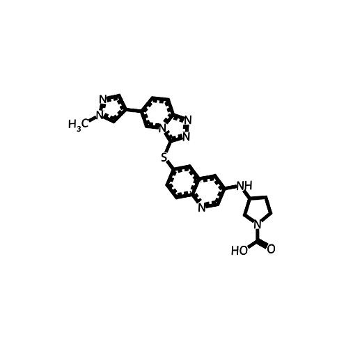 Cn1cc(-c2ccc3nnc(Sc4ccc5ncc(NC6CCN(C(=O)O)C6)cc5c4)n3c2)cn1